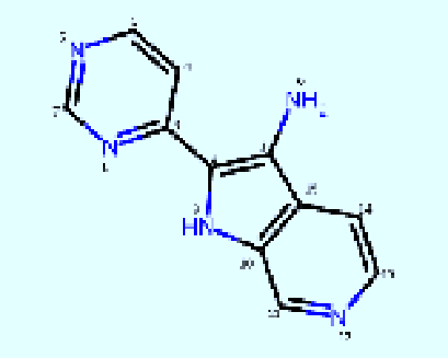 Nc1c(-c2ccncn2)[nH]c2cnccc12